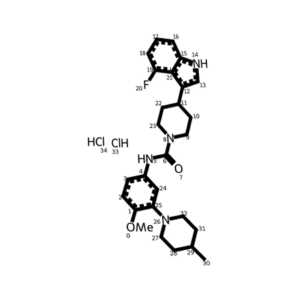 COc1ccc(NC(=O)N2CCC(c3c[nH]c4cccc(F)c34)CC2)cc1N1CCC(C)CC1.Cl.Cl